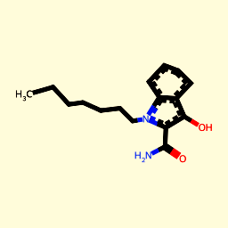 CCCCCCCn1c(C(N)=O)c(O)c2ccccc21